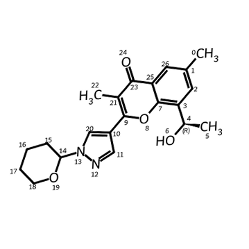 Cc1cc([C@@H](C)O)c2oc(-c3cnn(C4CCCCO4)c3)c(C)c(=O)c2c1